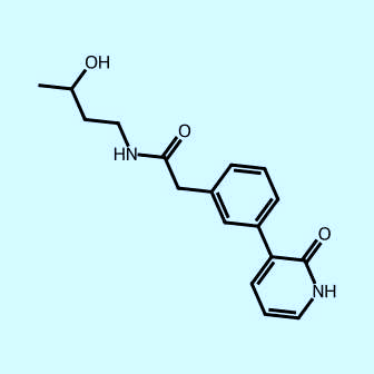 CC(O)CCNC(=O)Cc1cccc(-c2ccc[nH]c2=O)c1